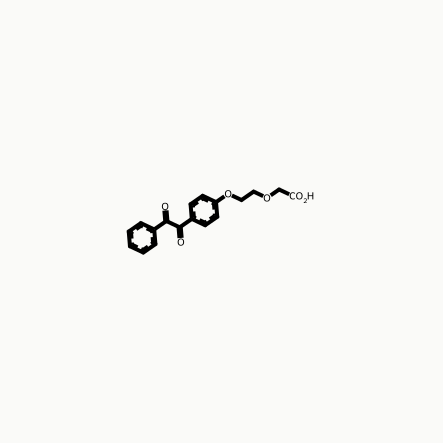 O=C(O)COCCOc1ccc(C(=O)C(=O)c2ccccc2)cc1